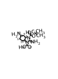 CC(C)(C)OC(=O)N1c2cc(N)ccc2N(C(=O)O)C1N